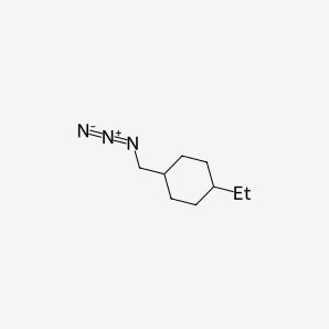 CCC1CCC(CN=[N+]=[N-])CC1